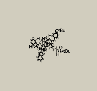 CC(C)(C)OC(=O)NCCCC[C@H](NC(=O)[C@H](Cc1ccc(OC(C)(C)C)cc1)NC(=O)CN)C(=O)N[C@@H](Cc1c[nH]c2ccccc12)C(=O)NC1Cc2ccccc2C1